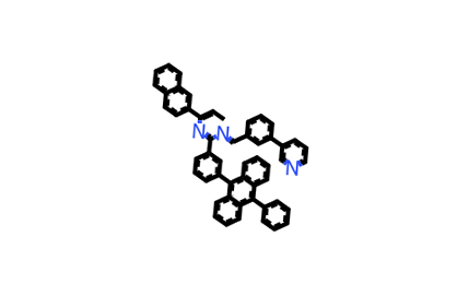 C\C=C(/N=C(\N=C\c1cccc(-c2cccnc2)c1)c1cccc(-c2c3ccccc3c(-c3ccccc3)c3ccccc23)c1)c1ccc2ccccc2c1